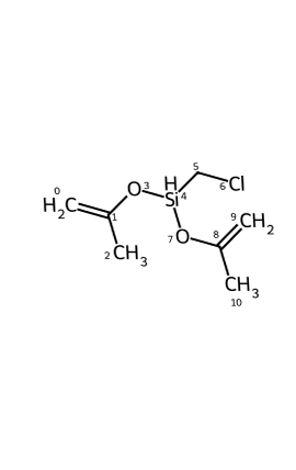 C=C(C)O[SiH](CCl)OC(=C)C